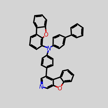 c1ccc(-c2ccc(N(c3ccc(-c4cncc5oc6ccccc6c45)cc3)c3cccc4c3oc3ccccc34)cc2)cc1